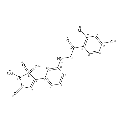 CC(C)(C)N1C(=O)C=C(c2cccc(NCC(=O)c3ccc(Cl)cc3Cl)c2)S1(=O)=O